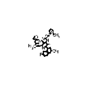 CC#Cc1nc(-c2cc(O)cc3ccc(F)cc23)c(F)c2nc(OC[C@@H]3CCCN3C)nc(N3CCCC4(CCO4)C3)c12